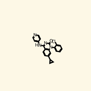 O=c1nc(Nc2ccncc2)c2ccc(C3CC3)cc2n1-c1ccccc1Cl